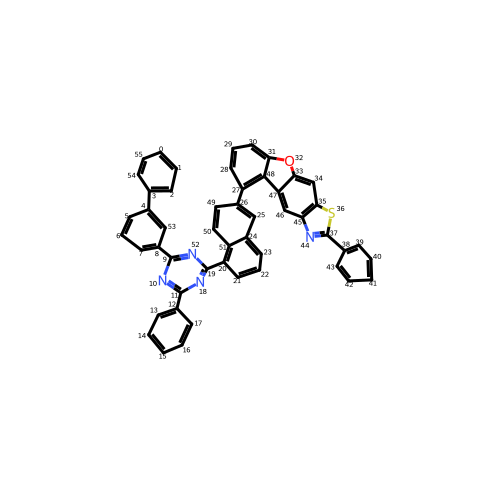 c1ccc(-c2cccc(-c3nc(-c4ccccc4)nc(-c4cccc5cc(-c6cccc7oc8cc9sc(-c%10ccccc%10)nc9cc8c67)ccc45)n3)c2)cc1